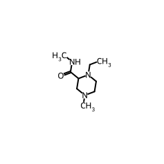 CCN1CCN(C)CC1C(=O)NC